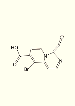 O=C=C1N=CC=C2C(Br)=C(C(=O)O)C=CN12